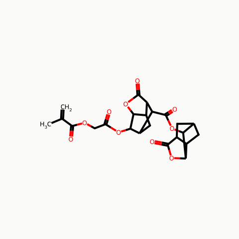 C=C(C)C(=O)OCC(=O)OC1C2CC3C1OC(=O)C3C2C(=O)OC1C2CC3C(=O)OC1C3C2